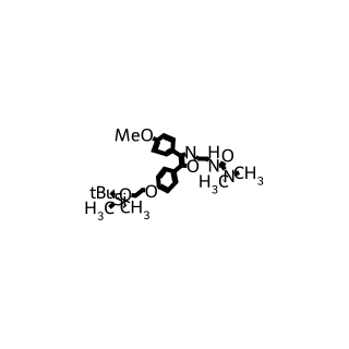 COc1ccc(-c2nc(CNC(=O)N(C)C)oc2-c2ccc(OCCO[Si](C)(C)C(C)(C)C)cc2)cc1